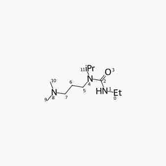 CCNC(=O)N(CCCN(C)C)C(C)C